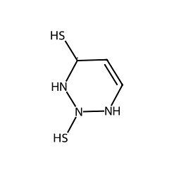 S[C]1C=CNN(S)N1